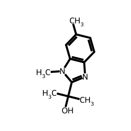 Cc1ccc2nc(C(C)(C)O)n(C)c2c1